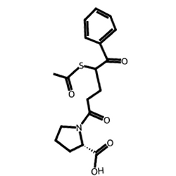 CC(=O)SC(CCC(=O)N1CCC[C@H]1C(=O)O)C(=O)c1ccccc1